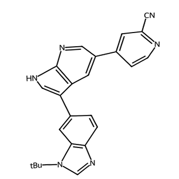 CC(C)(C)n1cnc2ccc(-c3c[nH]c4ncc(-c5ccnc(C#N)c5)cc34)cc21